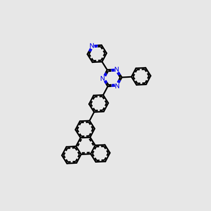 c1ccc(-c2nc(-c3ccncc3)nc(-c3ccc(-c4ccc5c6ccccc6c6ccccc6c5c4)cc3)n2)cc1